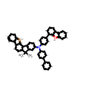 CC1(C)c2cc(N(c3ccc(-c4ccccc4)cc3)c3ccc(-c4cccc5c4oc4ccccc45)cc3)ccc2-c2c1ccc1c2sc2ccc#cc21